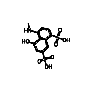 CNc1ccc(S(=O)(=O)O)c2cc(S(=O)(=O)O)cc(O)c12